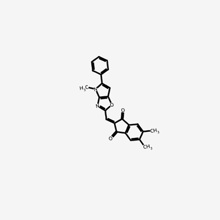 Cc1cc2c(cc1C)C(=O)C(=Cc1nc3c(cc(-c4ccccc4)n3C)o1)C2=O